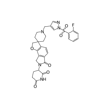 O=C1CCC(N2Cc3c(ccc4c3OCC43CCN(Cc4cnn(S(=O)(=O)c5ccccc5F)c4)CC3)C2=O)C(=O)N1